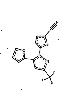 N#Cc1ccc(-n2nc(C(F)(F)F)cc2-c2ccco2)s1